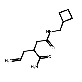 C=CCC(CC(=O)NCC1CCC1)C(N)=O